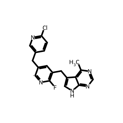 Cc1ncnc2[nH]cc(Cc3cc(Cc4ccc(Cl)nc4)[c]nc3F)c12